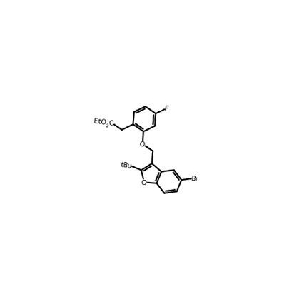 CCOC(=O)Cc1ccc(F)cc1OCc1c(C(C)(C)C)oc2ccc(Br)cc12